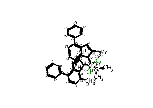 CC1=Cc2c(-c3ccccc3)ccc(C)c2[CH]1[Zr]([Cl])([Cl])([CH]1C(C(C)C)=Cc2c(-c3ccccc3)ccc(C)c21)[SiH](C)C